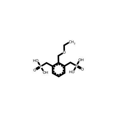 CCOCc1c(CP(=O)(O)O)cccc1CP(=O)(O)O